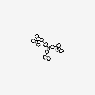 c1ccc2c(c1)-c1ccccc1C21c2ccccc2-c2ccc(-c3ccc(N(c4ccc(-c5cccc6ccccc56)cc4)c4ccc(-c5cccc6c5oc5ccccc56)cc4)cc3)cc21